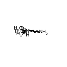 CO[Si](C)(CNCCCCCCN)OC